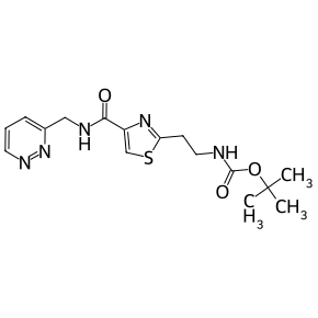 CC(C)(C)OC(=O)NCCc1nc(C(=O)NCc2cccnn2)cs1